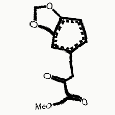 COC(=O)C(=O)Cc1ccc2c(c1)OCO2